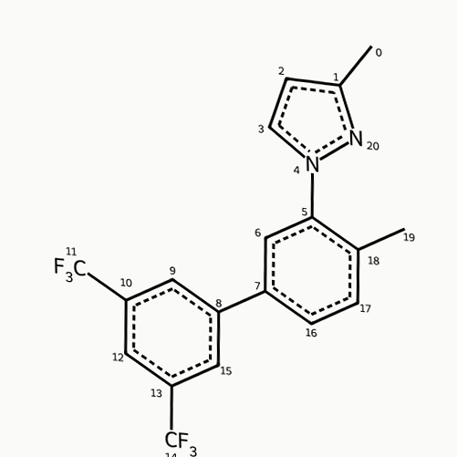 Cc1ccn(-c2cc(-c3cc(C(F)(F)F)cc(C(F)(F)F)c3)ccc2C)n1